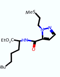 CCOC(=O)C(CCCC(C)CC)NC(=O)c1ccnn1CCSC